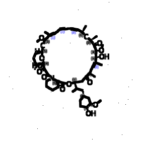 CO[C@H]1C[C@@H]2CC[C@@H](C)[C@@](O)(O2)C(=O)C(=O)N2CCCC[C@H]2C(=O)O[C@H](C(C)C[C@H]2CC[C@@H](O)[C@H](OC)C2)CC(=O)[C@H](C)/C=C(\C)[C@@H](O)[C@@H](OC)C(=O)[C@H](C)C[C@H](C)\C=C/C=C/C=C/1C